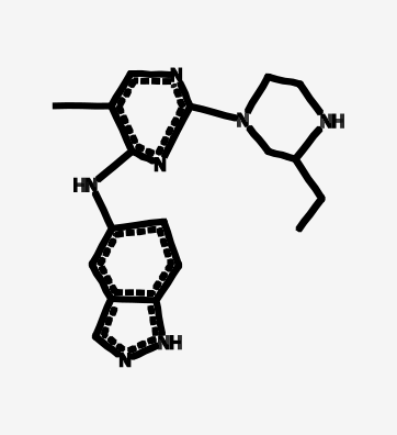 CCC1CN(c2ncc(C)c(Nc3ccc4[nH]ncc4c3)n2)CCN1